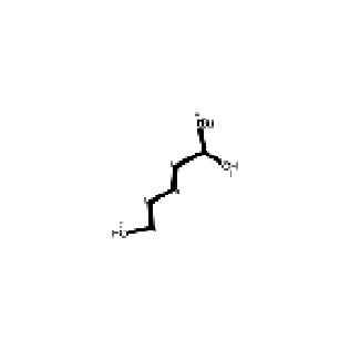 CC(C)(C)C(O)C[CH]CCO